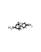 CC1(C)CC(N)CC(C)(C)N1N1CCC(N)CC1